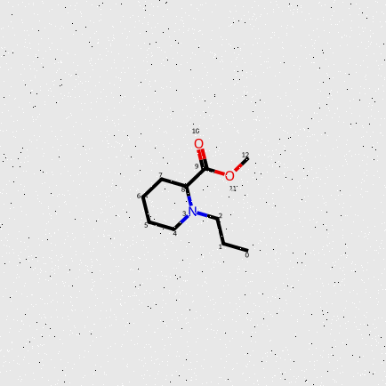 CCCN1CC[CH]CC1C(=O)OC